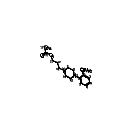 COc1ccccc1N1CCN(CCCOC(=O)C(C)(C)C)CC1